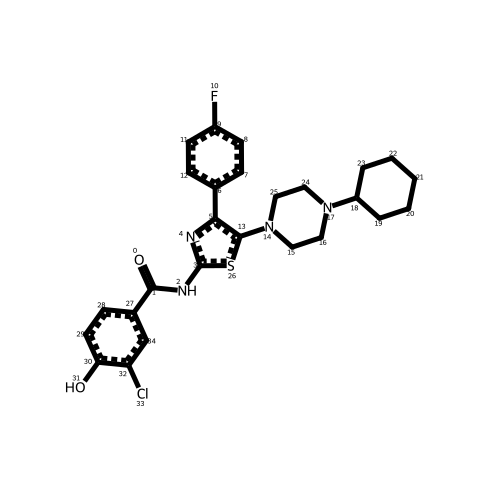 O=C(Nc1nc(-c2ccc(F)cc2)c(N2CCN(C3CCCCC3)CC2)s1)c1ccc(O)c(Cl)c1